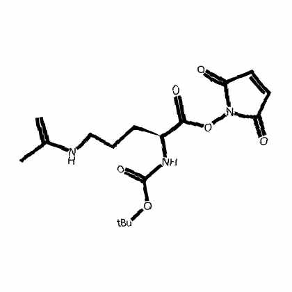 C=C(C)NCCC[C@H](NC(=O)OC(C)(C)C)C(=O)ON1C(=O)C=CC1=O